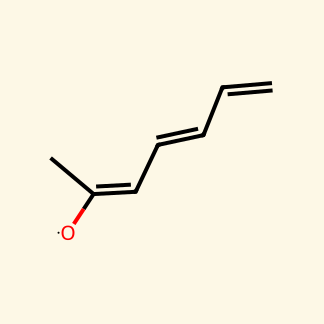 C=C/C=C/C=C(\C)[O]